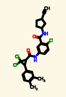 C#CC1CCC(NC(=O)c2cc(NC(=O)C3C(c4ccc(C)c(C)c4)C3(Cl)Cl)ccc2Cl)C1